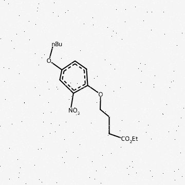 CCCCOc1ccc(OCCCC(=O)OCC)c([N+](=O)[O-])c1